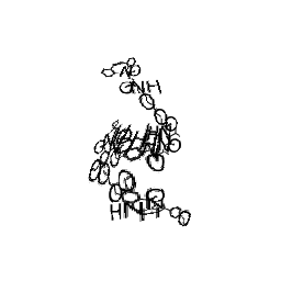 COc1ccc(C2=CN3C(=O)c4cc(OC)c(OCCCOc5cc6c(cc5OC)C(=O)N5CC7(CC7)C[C@H]5C(O)N6C(=O)OCc5ccc(NC(=O)[C@H](C)NC(=O)[C@@H](NC(=O)COCCOCCNC(=O)CCC(=O)N6Cc7ccccc7C#Cc7ccccc76)C(C)C)cc5)cc4NC[C@@H]3C2)cc1